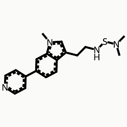 CN(C)SNCCc1cn(C)c2cc(-c3ccncc3)ccc12